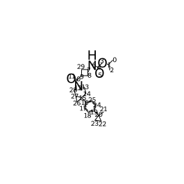 CC(C)OC(=O)N[C@H]1C[C@@H](C(=O)N2CCC3(c4ccc(C5(C)CC5)cc4)CC3C2)C1